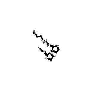 O=C=C1N=CC=N1.O=C=C1N=CC=N1.OCCO